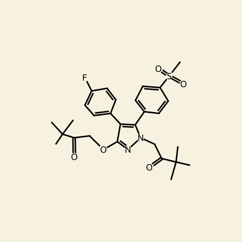 CC(C)(C)C(=O)COc1nn(CC(=O)C(C)(C)C)c(-c2ccc(S(C)(=O)=O)cc2)c1-c1ccc(F)cc1